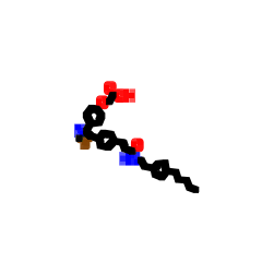 CCCCCc1ccc(CCNC(=O)/C=C/c2ccc(-c3scnc3-c3ccc(OCC(=O)O)cc3)cc2)cc1